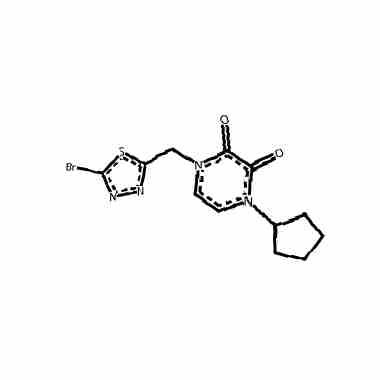 O=c1c(=O)n(C2CCCC2)ccn1Cc1nnc(Br)s1